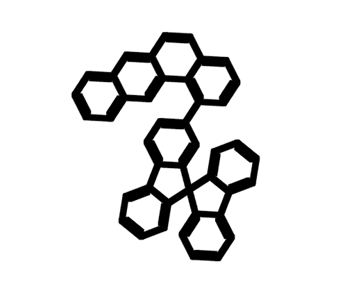 c1ccc2c(c1)-c1ccccc1C21c2ccccc2-c2ccc(-c3cccc4ccc5cc6ccccc6cc5c34)cc21